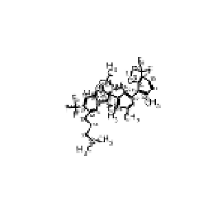 CCN[C@](c1c(F)c(C)cc(-c2c(C)ccc(C(F)(F)F)c2C)c1F)(C(C)C)[C@H](C)n1cc(CCCN(C)C)c(C(F)(F)F)cc1=O